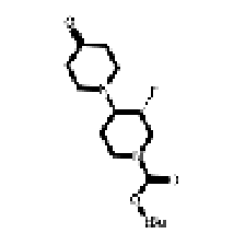 CC(C)(C)OC(=O)N1CC[C@@H](N2CCC(=O)CC2)[C@H](F)C1